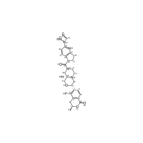 C[C@H]1Cc2c(ccc([C@H]3CN4CCN(C(=O)C5CCc6nc(-n7cn[nH]7)ccc65)C[C@@H]4CO3)c2F)C(=O)O1